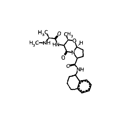 CN[C@@H](C)C(=O)NC1C(=O)N2C(C(=O)NC3CCCc4ccccc43)CC[C@@H]2O[C@@H]1C